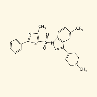 Cc1nc(-c2ccccc2)sc1S(=O)(=O)n1cc(C2=CCN(C)CC2)c2cc(C(F)(F)F)ccc21